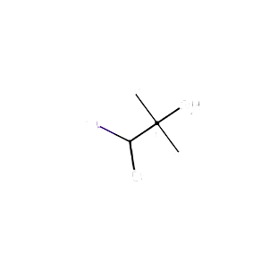 CCC(I)C(C)(C)[SiH3]